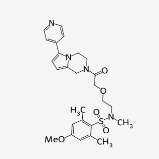 COc1cc(C)c(S(=O)(=O)N(C)CCOCC(=O)N2CCn3c(ccc3-c3ccncc3)C2)c(C)c1